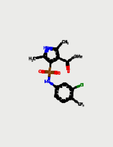 COC(=O)c1c(C)[nH]c(C)c1S(=O)(=O)Nc1ccc(C(F)(F)F)c(Cl)c1